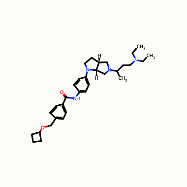 CCN(CC)CCC(C)N1C[C@H]2CCN(c3ccc(NC(=O)c4ccc(COC5CCC5)cc4)cc3)[C@H]2C1